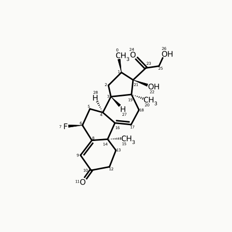 C[C@@H]1C[C@H]2[C@@H]3C[C@H](F)C4=CC(=O)CC[C@]4(C)C3=CC[C@]2(C)[C@@]1(O)C(=O)CO